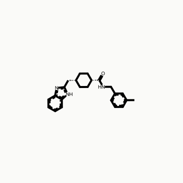 Cc1cccc(CNC(=O)[C@H]2CC[C@@H](Cc3nc4ccccc4[nH]3)CC2)c1